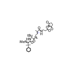 CN[C@H](C(=O)NC(C(=O)N(C)C/C=C(\C)C(=O)NCCC(=O)ON1C(=O)CCC1=O)C(C)(C)C)C(C)(C)c1ccccc1